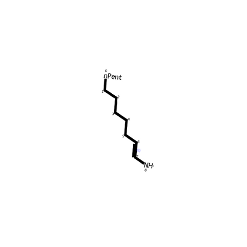 CCCCCCCCCC/C=C/[NH]